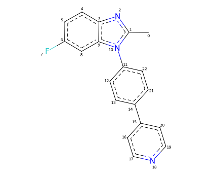 Cc1nc2ccc(F)cc2n1-c1ccc(-c2ccncc2)cc1